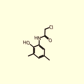 Cc1cc(C)c(O)c(NC(=O)CCl)c1